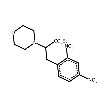 CCOC(=O)C(Cc1ccc([N+](=O)[O-])cc1[N+](=O)[O-])N1CCOCC1